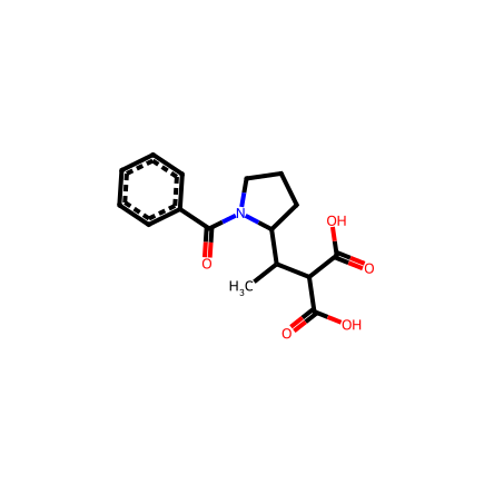 CC(C(C(=O)O)C(=O)O)C1CCCN1C(=O)c1ccccc1